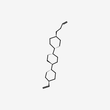 C=CCC[C@H]1CC[C@H]([C@H]2CC[C@H]([C@H]3CC[C@H](C=C)CC3)CC2)CC1